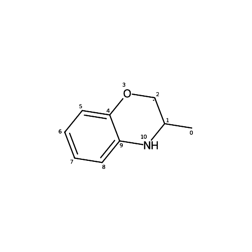 CC1[C]Oc2ccccc2N1